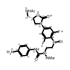 CCN(CCN(NC)C(=O)Nc1ccc(N)cc1)c1c(F)cc(N2C[C@H](CNC(C)=O)OC2=O)cc1F